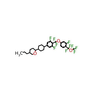 CCCC1CCC(C2CCC(c3cc(F)c(C(F)(F)Oc4ccc(C(F)(F)OC(F)(F)F)c(F)c4)c(F)c3)CC2)OC1